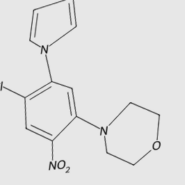 O=[N+]([O-])c1cc(Cl)c(-n2cccc2)cc1N1CCOCC1